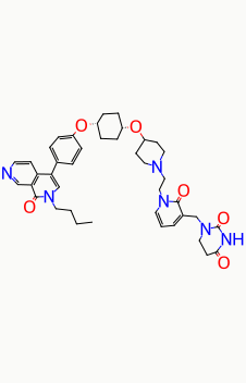 CCCCn1cc(-c2ccc(O[C@H]3CC[C@@H](OC4CCN(CCn5cccc(CN6CCC(=O)NC6=O)c5=O)CC4)CC3)cc2)c2ccncc2c1=O